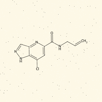 C=CCNC(=O)c1cc(Cl)c2[nH]ncc2n1